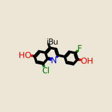 CCC(C)c1cc(-c2ccc(O)c(F)c2)nc2c(Cl)cc(O)cc12